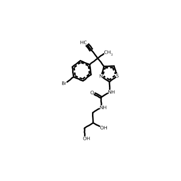 C#CC(C)(c1ccc(Br)cc1)c1csc(NC(=O)NCC(O)CO)n1